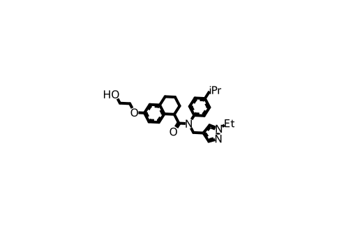 CCn1cc(CN(C(=O)C2CCCc3cc(OCCO)ccc32)c2ccc(C(C)C)cc2)cn1